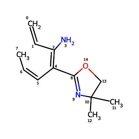 C=C/C(N)=C(\C=C/C)C1=NC(C)(C)CO1